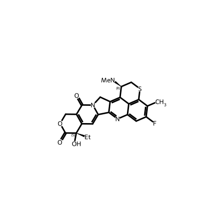 CC[C@@]1(O)C(=O)OCc2c1cc1n(c2=O)Cc2c-1nc1cc(F)c(C)c3c1c2[C@@H](NC)CS3